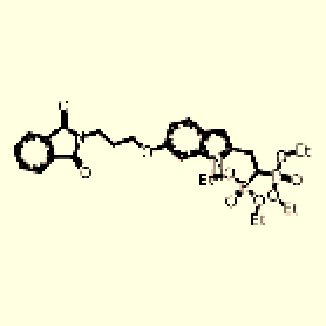 CCOP(=O)(OCC)C(Cc1cc2ccc(OCCCN3C(=O)c4ccccc4C3=O)cc2[nH]1)P(=O)(OCC)OCC